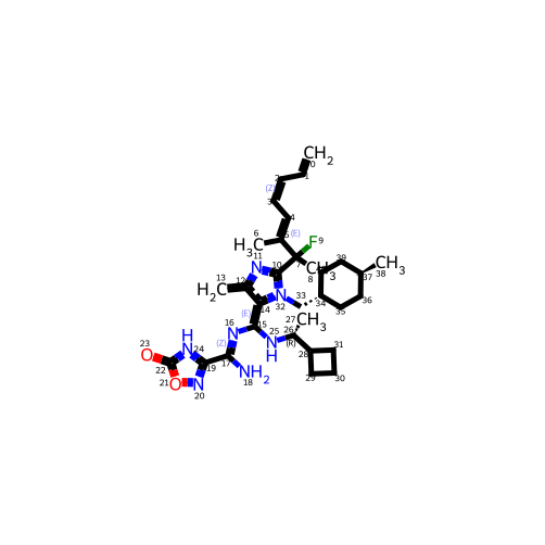 C=C/C=C\C=C(/C)C(C)(F)c1nc(=C)/c(=C(\N=C(/N)c2noc(=O)[nH]2)N[C@H](C)C2CCC2)n1C[C@H]1CC[C@H](C)CC1